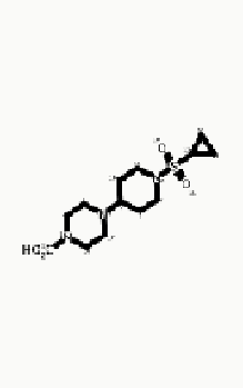 O=C(O)N1CCN(C2CCN(S(=O)(=O)C3CC3)CC2)CC1